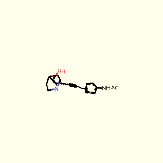 CC(=O)Nc1ccc(C#CC2C(O)C3CCN2CC3)cc1